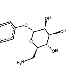 NC[C@H]1O[C@H](Oc2ccccc2)[C@@H](O)[C@@H](O)[C@@H]1O